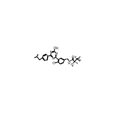 CO[C@](C)(C(=O)NCc1ccc(Cl)c(-c2nc(O)nc(-c3ccc(CC(C)C)cc3)n2)c1)C(F)(F)F